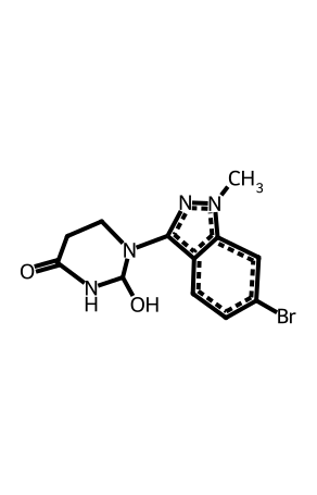 Cn1nc(N2CCC(=O)NC2O)c2ccc(Br)cc21